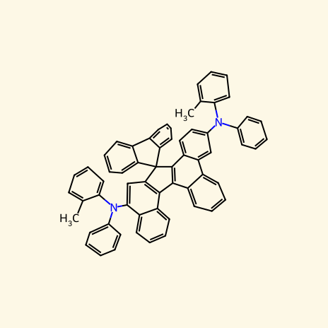 Cc1ccccc1N(c1ccccc1)c1ccc2c3c(c4ccccc4c2c1)-c1c(cc(N(c2ccccc2)c2ccccc2C)c2ccccc12)C31c2ccccc2-c2ccccc21